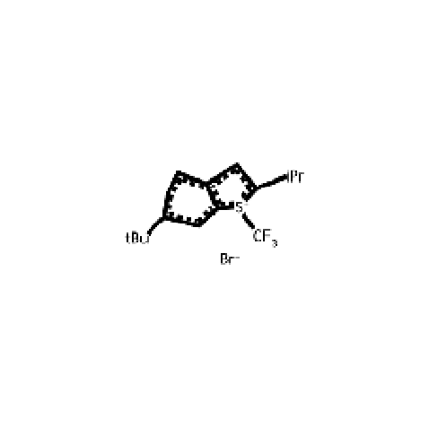 CC(C)c1cc2ccc(C(C)(C)C)cc2[s+]1C(F)(F)F.[Br-]